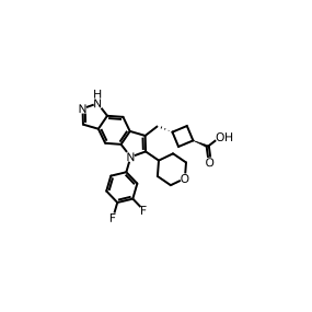 O=C(O)[C@H]1C[C@H](Cc2c(C3CCOCC3)n(-c3ccc(F)c(F)c3)c3cc4cn[nH]c4cc23)C1